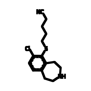 N#CCCCCSc1c(Cl)ccc2c1CCNCC2